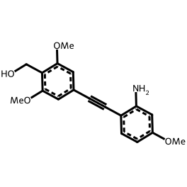 COc1ccc(C#Cc2cc(OC)c(CO)c(OC)c2)c(N)c1